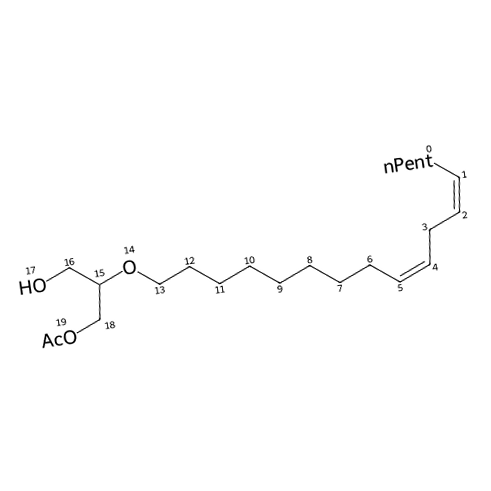 CCCCC/C=C\C/C=C\CCCCCCCCOC(CO)COC(C)=O